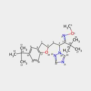 CON=C(C(CC1Cc2cc(C(C)(C)C)ccc2O1)n1cncn1)C(C)(C)C